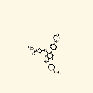 C[C@H]1CC[C@H](Nc2ncc(-c3ccc(N4CCOCC4)cc3)c(OC3CN(C(=O)O)C3)n2)CC1